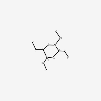 CCC1CN(CC)C(CC)CN1CC